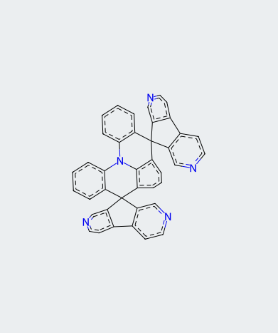 c1ccc2c(c1)N1c3ccccc3C3(c4cnccc4-c4ccncc43)c3cccc(c31)C21c2cnccc2-c2ccncc21